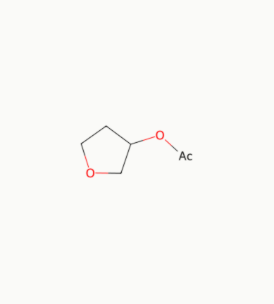 CC(=O)OC1CCOC1